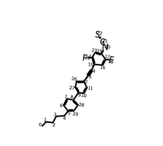 CCCCCc1ccc(-c2ccc(C#Cc3cc(F)c(N=C=S)cc3F)cc2)cc1